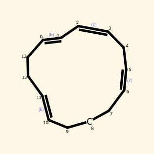 [C]1=C/C=C\C/C=C\CCC/C=C/CC/1